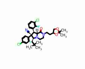 CC(C)(C)C[C@@H]1N2CCN(CCC3COC(C)(C)O3)C(=O)[C@H]2[C@H](c2cccc(Cl)c2F)[C@@]1(C#N)c1ccc(Cl)cc1F